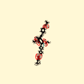 C=CC(=O)Oc1c(F)c(-c2ccc(-c3ccc(OC(=O)C(=C)C)cc3)cc2)c(OC(=O)C=C)c(C)c1C#Cc1ccc(OC(=O)C(=C)C)cc1